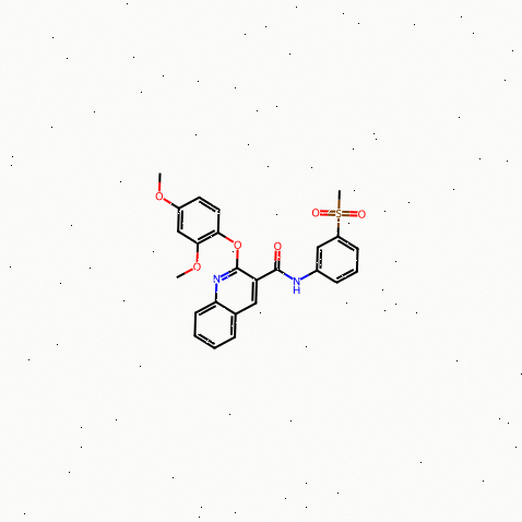 COc1ccc(Oc2nc3ccccc3cc2C(=O)Nc2cccc(S(C)(=O)=O)c2)c(OC)c1